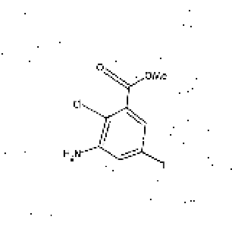 COC(=O)c1cc(F)cc(N)c1Cl